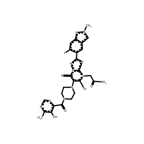 CCc1c(N2CCN(C(=O)c3ncnc(C)c3O)CC2)c(=O)n2nc(-c3cc4cn(C)nc4cc3F)nc2n1CC(N)=O